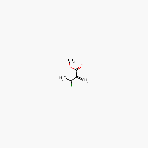 C=C(C(=O)OC)C(C)Cl